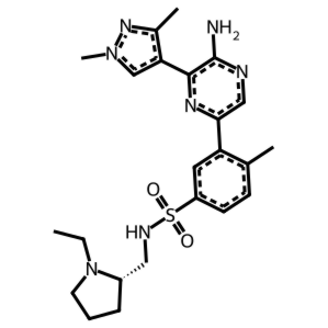 CCN1CCC[C@H]1CNS(=O)(=O)c1ccc(C)c(-c2cnc(N)c(-c3cn(C)nc3C)n2)c1